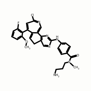 COc1cccc(F)c1C1=CC(Cl)=NC=C2C1=CCc1cnc(Nc3ccc(C(=O)N(C)CCCN)cc3)nc12